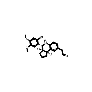 COc1cc(Br)c([C@@H]2Nc3ccc(CC=O)cc3[C@@H]3C=CC[C@@H]32)cc1OC